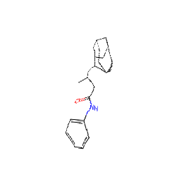 CC(CC(=O)Nc1ccccc1)C1C2CC3CC(C2)CC1C3